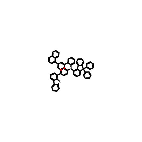 c1ccc(C2(c3ccccc3)c3ccccc3-c3c(N(c4ccc(-c5cccc6c5sc5ccccc56)cc4)c4ccccc4-c4cccc(-c5cccc6ccccc56)c4)cccc32)cc1